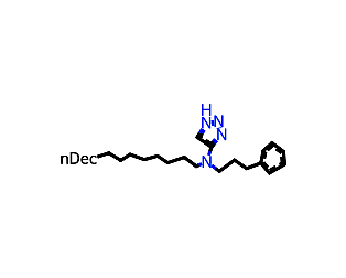 CCCCCCCCCCCCCCCCCCN(CCCc1ccccc1)c1c[nH]nn1